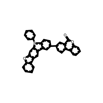 O=c1oc2ccccc2c2ccc(-c3ccc4c(c3)c3cc5c(cc3n4-c3ccccc3)oc3ccccc35)cc12